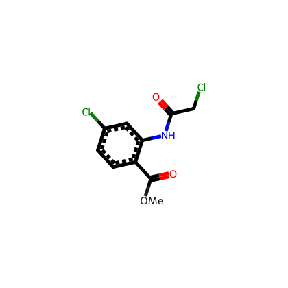 COC(=O)c1ccc(Cl)cc1NC(=O)CCl